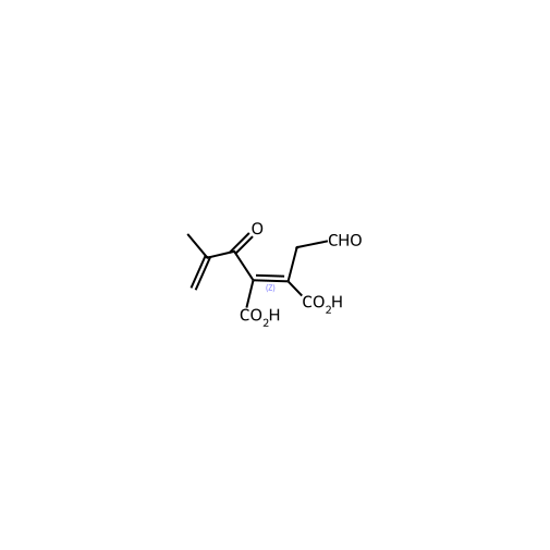 C=C(C)C(=O)/C(C(=O)O)=C(\CC=O)C(=O)O